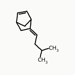 CC(C)CC=C1CC2C=CC1C2